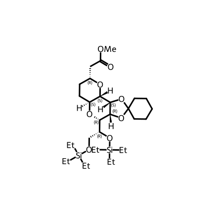 CC[Si](CC)(CC)OC[C@@H](O[Si](CC)(CC)CC)[C@@H]1O[C@H]2CC[C@H](CC(=O)OC)O[C@@H]2[C@@H]2OC3(CCCCC3)O[C@@H]21